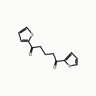 O=C(CCCC(=O)c1cccs1)c1cccs1